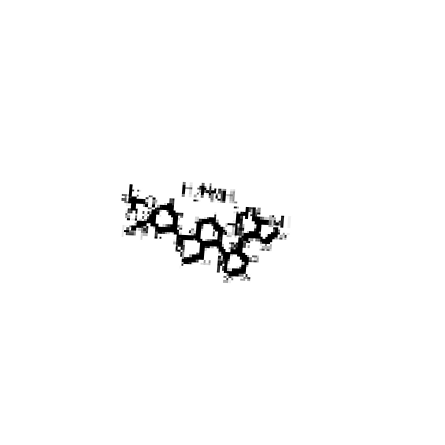 Cc1ccc2c(-c3ccc4c(c3)C(F)(F)OC(F)(F)O4)nccc2c1-c1ncccc1-c1ncnc2[nH]ccc12.NN